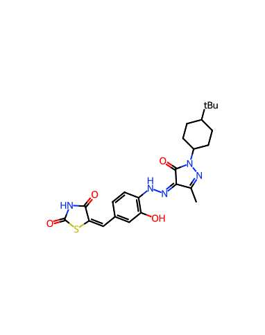 CC1=NN(C2CCC(C(C)(C)C)CC2)C(=O)C1=NNc1ccc(C=C2SC(=O)NC2=O)cc1O